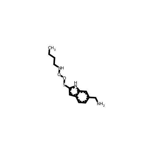 CCCCNOOSc1cc2ccc(CN)cc2[nH]1